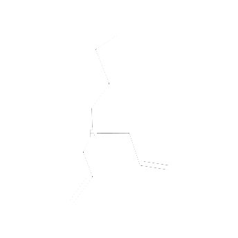 C=CCB(CC=C)CCCC